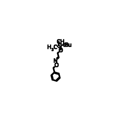 CC(C)(C)[Si](C)(C)OC/C=N/OCc1ccccc1